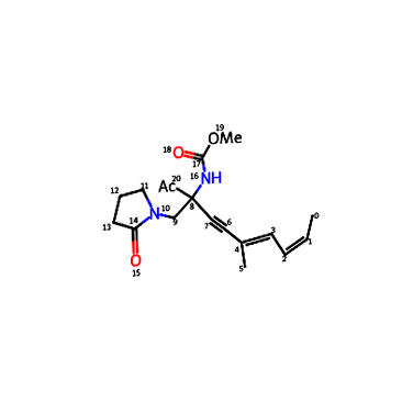 C/C=C\C=C(/C)C#CC(CN1CCCC1=O)(NC(=O)OC)C(C)=O